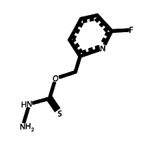 NNC(=S)OCc1cccc(F)n1